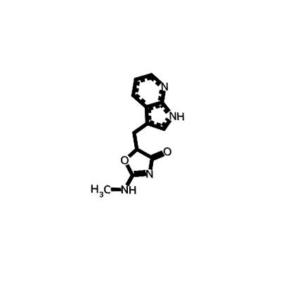 CNC1=NC(=O)C(Cc2c[nH]c3ncccc23)O1